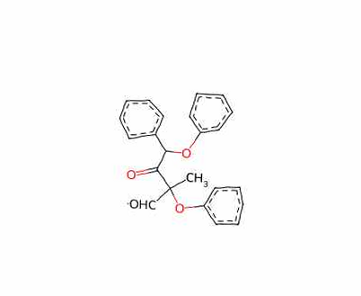 CC([C]=O)(Oc1ccccc1)C(=O)C(Oc1ccccc1)c1ccccc1